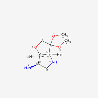 COC1(OC)CO[C@@H]2[C@H](N)CN[C@@H]21